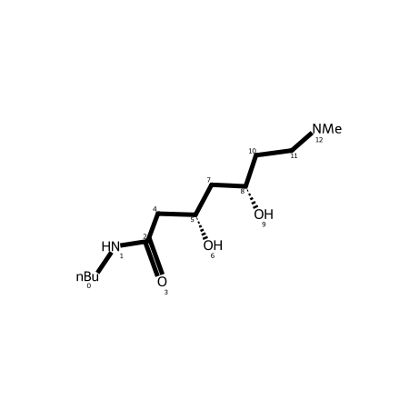 CCCCNC(=O)C[C@@H](O)C[C@@H](O)CCNC